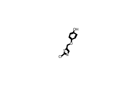 Oc1ccc(OCc2cnc(Cl)s2)cc1